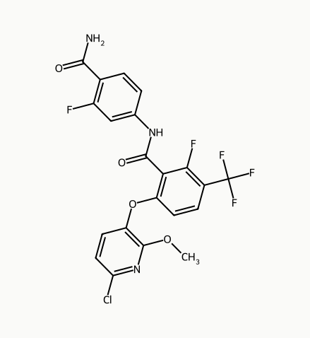 COc1nc(Cl)ccc1Oc1ccc(C(F)(F)F)c(F)c1C(=O)Nc1ccc(C(N)=O)c(F)c1